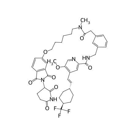 COc1cnc(C(=O)NCc2cccc(CC(=O)N(C)CCCCCCOc3ccc4c(c3)C(=O)N(C3CCC(=O)NC3=O)C4=O)c2)cc1/C=C/[C@H]1CC[C@H](C(F)(F)F)CC1